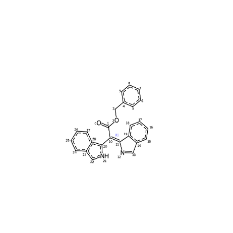 O=C(OCc1ccccc1)/C(=C1/N=Cc2ccccc21)c1[nH]cc2ccccc12